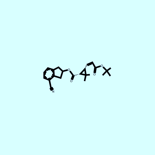 CC(C)(C)OC(=O)/C=C\[C@H]1[C@@H](C(=O)OC2Cc3cccc(C#N)c3C2)C1(C)C